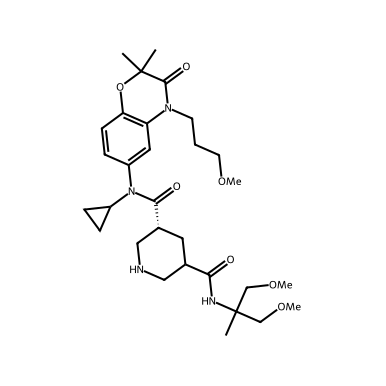 COCCCN1C(=O)C(C)(C)Oc2ccc(N(C(=O)[C@H]3CNCC(C(=O)NC(C)(COC)COC)C3)C3CC3)cc21